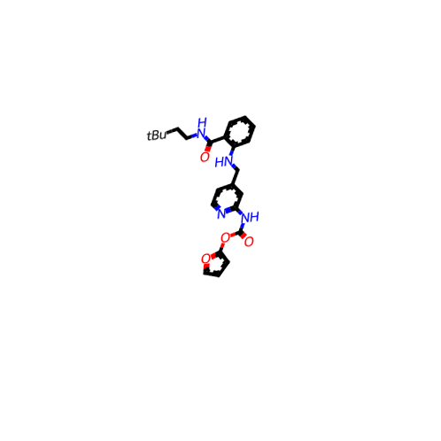 CC(C)(C)CCNC(=O)c1ccccc1NCc1ccnc(NC(=O)Oc2ccco2)c1